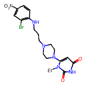 CCn1c(N2CCN(CCCNc3ccc([N+](=O)[O-])cc3Br)CC2)cc(=O)[nH]c1=O